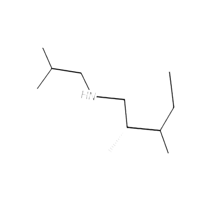 CCC(C)[C@H](C)CNCC(C)C